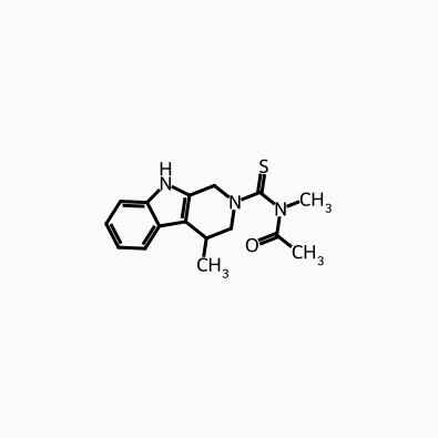 CC(=O)N(C)C(=S)N1Cc2[nH]c3ccccc3c2C(C)C1